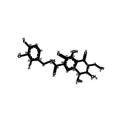 CCCC[C@@H]1C(C)N(CC(C)C)C(=O)c2c(O)c(=O)c(C(=O)NCc3ccc(F)c(Cl)c3F)cn21